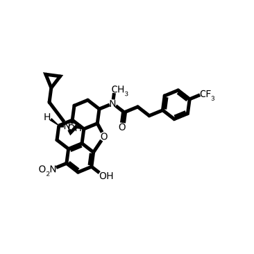 CN(C(=O)CCc1ccc(C(F)(F)F)cc1)C1CC[C@@]2(O)[C@H]3Cc4c([N+](=O)[O-])cc(O)c5c4[C@@]2(CCN3CC2CC2)C1O5